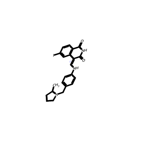 CC1CCCN1Cc1ccc(N/C=C2\C(=O)NC(=O)c3ccc(I)cc32)cc1